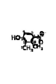 Cc1c(O)ccc([N+](=O)[O-])c1C